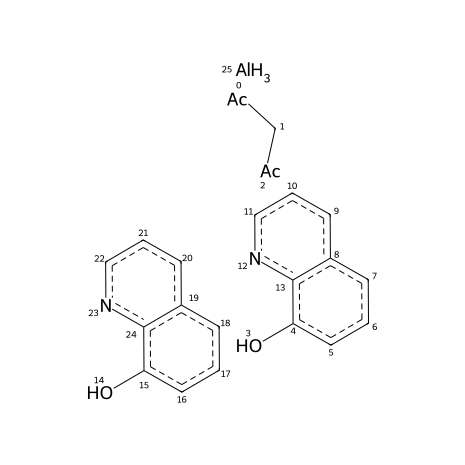 CC(=O)CC(C)=O.Oc1cccc2cccnc12.Oc1cccc2cccnc12.[AlH3]